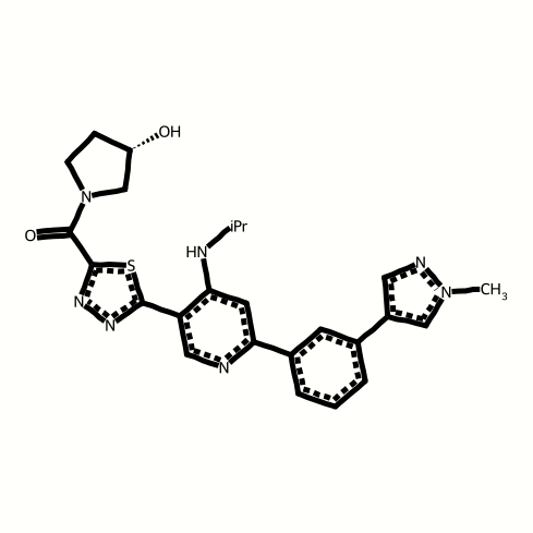 CC(C)Nc1cc(-c2cccc(-c3cnn(C)c3)c2)ncc1-c1nnc(C(=O)N2CC[C@H](O)C2)s1